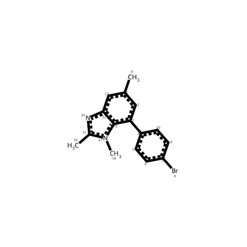 Cc1cc(-c2ccc(Br)cc2)c2c(c1)nc(C)n2C